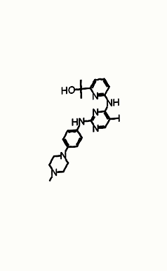 CN1CCN(c2ccc(Nc3ncc(I)c(Nc4cccc(C(C)(C)O)n4)n3)cc2)CC1